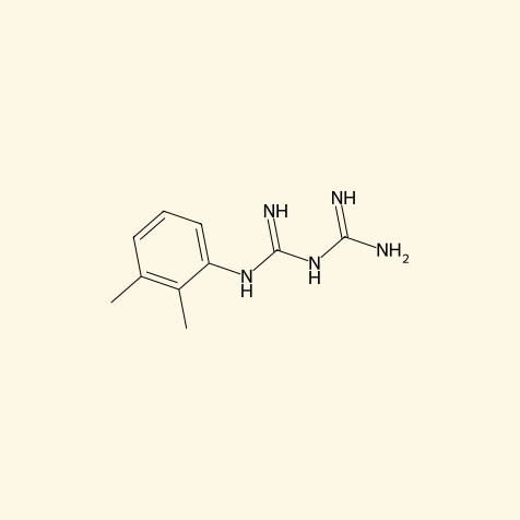 Cc1cccc(NC(=N)NC(=N)N)c1C